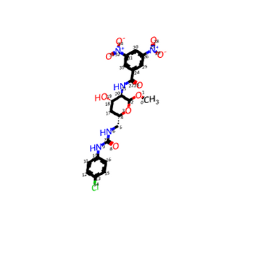 COC1O[C@H](CNC(=O)Nc2ccc(Cl)cc2)C[C@H](O)[C@H]1NC(=O)c1cc([N+](=O)[O-])cc([N+](=O)[O-])c1